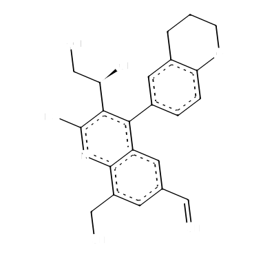 C=Cc1cc(CC)c2nc(C)c([C@H](O)CO)c(-c3ccc4c(c3)CCCO4)c2c1